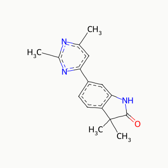 Cc1cc(-c2ccc3c(c2)NC(=O)C3(C)C)nc(C)n1